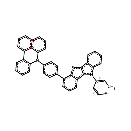 C/C=C(\C=C/CC)n1c2ccccc2c2sc3c(-c4ccc(N(c5ccccc5)c5ccccc5-c5ccccc5)cc4)cccc3c21